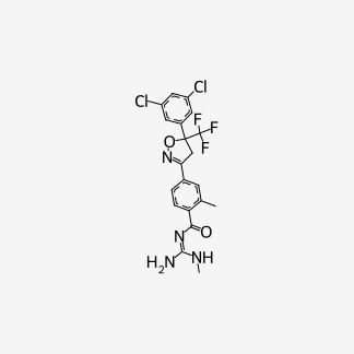 CNC(N)=NC(=O)c1ccc(C2=NOC(c3cc(Cl)cc(Cl)c3)(C(F)(F)F)C2)cc1C